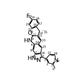 Cc1cc(-c2n[nH]c3cc4[nH]c(=O)c([C@@H](C)c5ccc(F)cc5)cc4cc23)ccn1